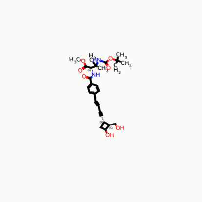 COC(=O)[C@@H](NC(=O)c1ccc(C#CC#C[C@H]2CC(O)[C@@H]2CO)cc1)C(C)(C)NC(=O)OC(C)(C)C